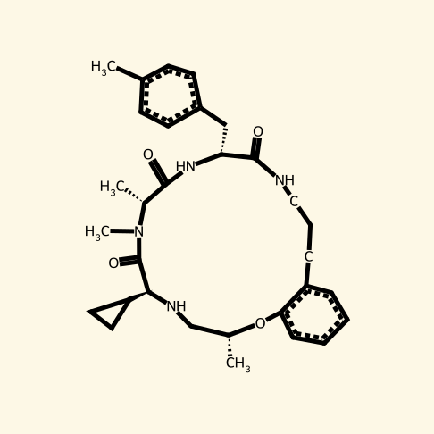 Cc1ccc(C[C@H]2NC(=O)[C@@H](C)N(C)C(=O)[C@H](C3CC3)NC[C@@H](C)Oc3ccccc3CCCNC2=O)cc1